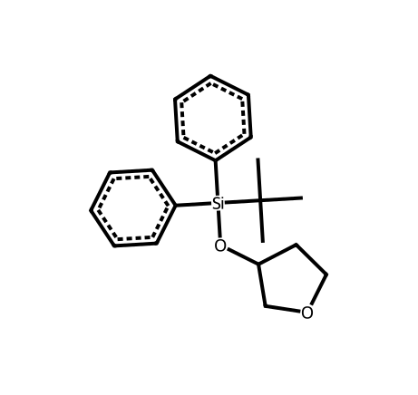 CC(C)(C)[Si](OC1CCOC1)(c1ccccc1)c1ccccc1